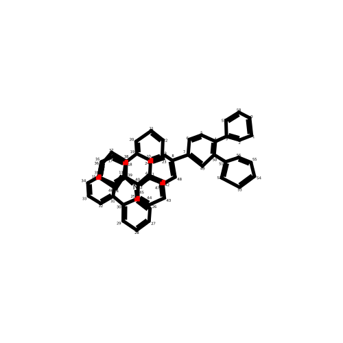 c1ccc(-c2ccc(-c3ccc(N(c4ccccc4-c4ccccc4)c4ccccc4-c4cccc5cccc(-c6ccccc6)c45)cc3)cc2-c2ccccc2)cc1